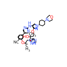 C[C@@H](Cn1cnnn1)Oc1cc(-c2cnc(Nc3cn([C@H]4CC[C@H](N5CCOCC5)CC4)nc3OCCC(C)(C)O)nc2)ccc1C#N